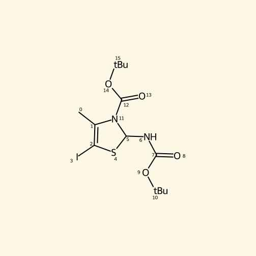 CC1=C(I)SC(NC(=O)OC(C)(C)C)N1C(=O)OC(C)(C)C